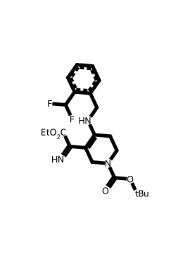 CCOC(=O)C(=N)C1=C(NCc2ccccc2C(F)F)CCN(C(=O)OC(C)(C)C)C1